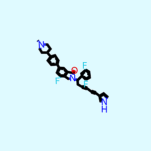 CN1CCC(c2ccc(-c3cc(F)c4c(c3)C(=O)N(C(CC#CC#Cc3cc[nH]c3)c3cc(F)ccc3F)C4)cc2)CC1